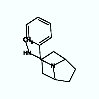 CNC1CC2CCC(C1)N2Cc1ccccc1